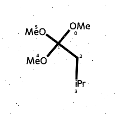 COC(CC(C)C)(OC)OC